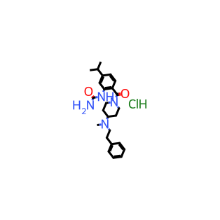 CC(C)c1ccc(C(=O)N2CCC(N(C)CCc3ccccc3)CC2)c(NC(N)=O)c1.Cl